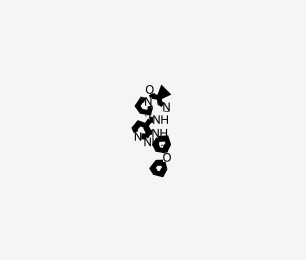 C=NCC1(C(=O)N2CCC[C@@H](C(=N)c3ccnc(N)c3Nc3ccc(Oc4ccccc4)cc3)C2)CC1